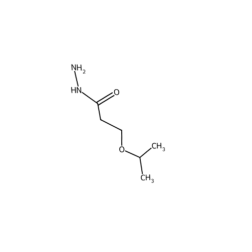 CC(C)OCCC(=O)NN